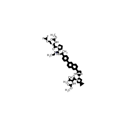 C=C(N/C(=N\CC)[C@@H]1CCCN1C(=O)[C@H](CCOC(F)F)NC(=O)OC)c1ccc(-c2ccc3cc(-c4cnc([C@@H]5CC6(CC6)CN5C(=O)[C@@H](NC(=O)OC)C(C)C)[nH]4)ccc3c2)cc1